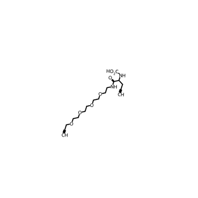 C#CCOCCOCCOCCOCCNC(=O)C(CC#C)NC(=O)O